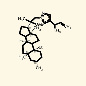 C=CC(C)c1cnn(CC(C)(OC)[C@H]2CCC3[C@@H]4CC[C@]5(C)C[C@@H](C)CC[C@]5(CC)C4CC[C@@]32C)c1